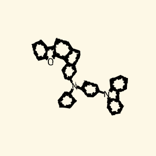 c1ccc(N(c2ccc(-n3c4ccccc4c4ccccc43)cc2)c2ccc3c(ccc4ccc5c6ccccc6oc5c43)c2)cc1